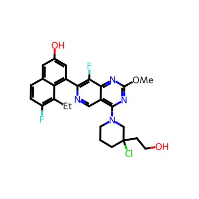 CCc1c(F)ccc2cc(O)cc(-c3ncc4c(N5CCCC(Cl)(CCO)C5)nc(OC)nc4c3F)c12